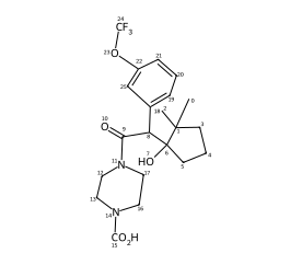 CC1(C)CCCC1(O)C(C(=O)N1CCN(C(=O)O)CC1)c1cccc(OC(F)(F)F)c1